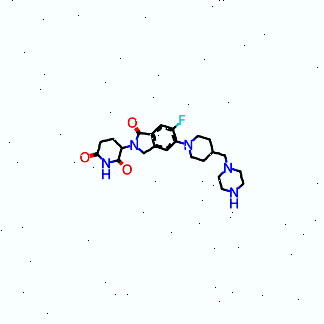 O=C1CCC(N2Cc3cc(N4CCC(CN5CCNCC5)CC4)c(F)cc3C2=O)C(=O)N1